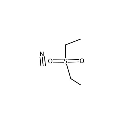 C#N.CCS(=O)(=O)CC